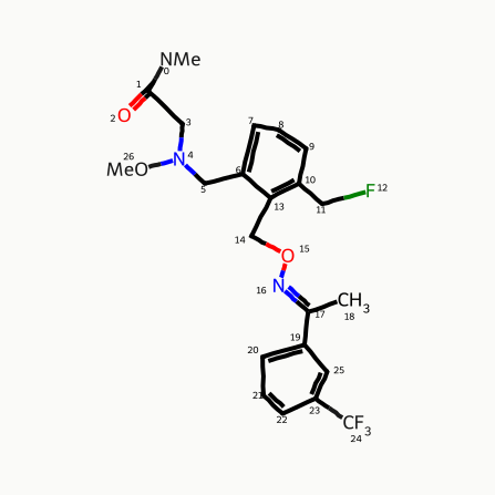 CNC(=O)CN(Cc1cccc(CF)c1CO/N=C(\C)c1cccc(C(F)(F)F)c1)OC